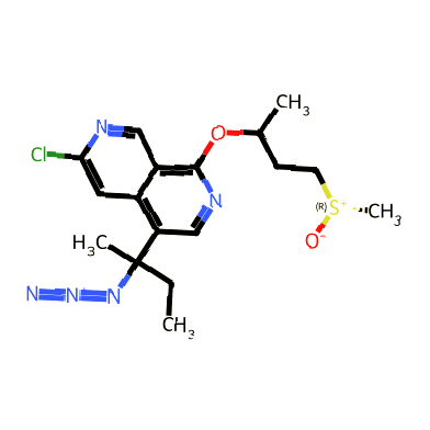 CCC(C)(N=[N+]=[N-])c1cnc(OC(C)CC[S@+](C)[O-])c2cnc(Cl)cc12